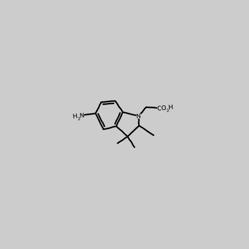 CC1N(CC(=O)O)c2ccc(N)cc2C1(C)C